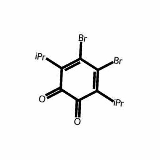 CC(C)C1=C(Br)C(Br)=C(C(C)C)C(=O)C1=O